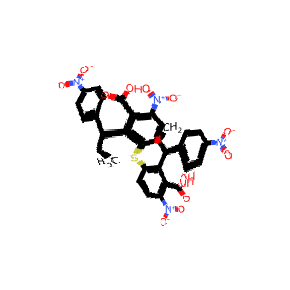 C=CC(c1ccc([N+](=O)[O-])cc1)c1c(Sc2ccc([N+](=O)[O-])c(C(=O)O)c2C(C=C)c2ccc([N+](=O)[O-])cc2)ccc([N+](=O)[O-])c1C(=O)O